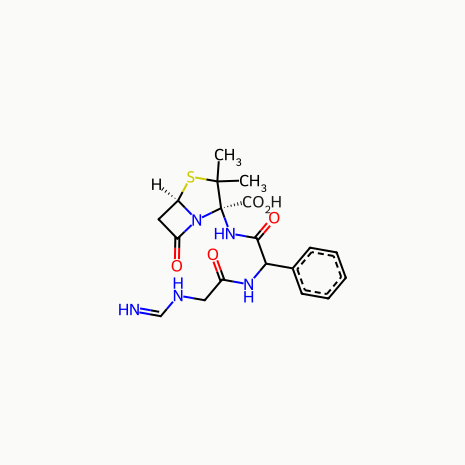 CC1(C)S[C@@H]2CC(=O)N2[C@@]1(NC(=O)C(NC(=O)CNC=N)c1ccccc1)C(=O)O